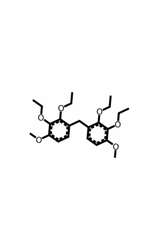 CCOc1c(Cc2ccc(OC)c(OCC)c2OCC)ccc(OC)c1OCC